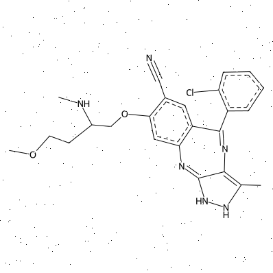 CNC(CCOC)COc1cc2c(cc1C#N)C(c1ccccc1Cl)=NC1=C(C)NNC1=N2